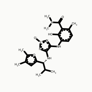 Cc1cc([C@H](Nc2n[s+]([O-])nc2Nc2ccc(C)c(C(=O)N(C)C)c2O)C(C)C)oc1C